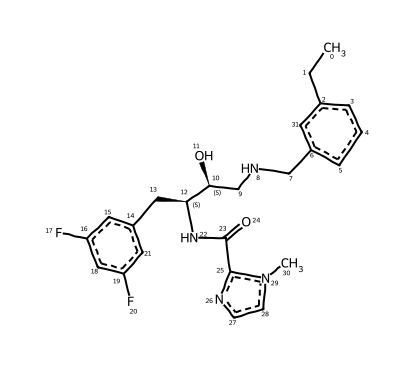 CCc1cccc(CNC[C@H](O)[C@H](Cc2cc(F)cc(F)c2)NC(=O)c2nccn2C)c1